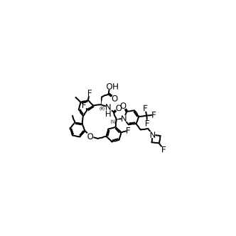 Cc1cc2c(F)c(c1F)[C@@H](CC(=O)O)NC(=O)[C@@H](n1cc(CCN3CC(F)C3)c(C(F)(F)F)cc1=O)c1cc(ccc1F)COc1cccc(C)c1-2